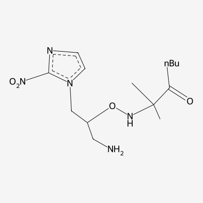 CCCCC(=O)C(C)(C)NOC(CN)Cn1ccnc1[N+](=O)[O-]